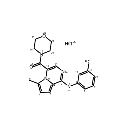 Cc1ccc2c(Nc3cccc(Cl)c3)ncc(C(=O)N3CCOCC3)n12.Cl